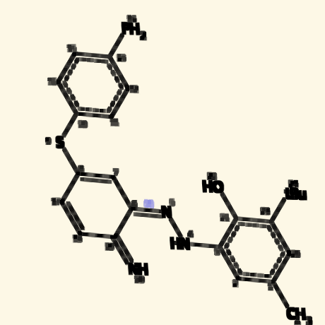 Cc1cc(N/N=C2/C=C(Sc3ccc(P)cc3)C=CC2=N)c(O)c(C(C)(C)C)c1